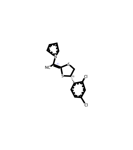 N#C/C(=C1/SC[C@H](c2ccc(Cl)cc2Cl)S1)n1cccc1